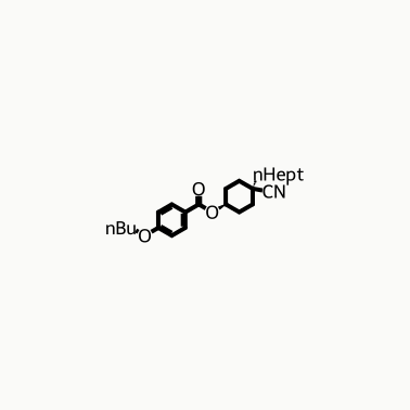 CCCCCCC[C@]1(C#N)CC[C@@H](OC(=O)c2ccc(OCCCC)cc2)CC1